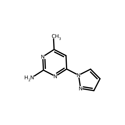 Cc1cc(-n2cccn2)nc(N)n1